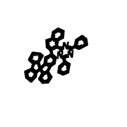 c1ccc(-c2nc(-c3ccccc3)nc(-c3c(-c4ccc5c(c4)C4(c6ccccc6-c6ccccc64)c4ccccc4-5)ccc4ccccc34)n2)cc1